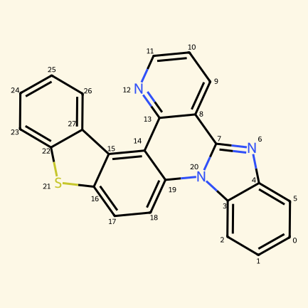 c1ccc2c(c1)nc1c3cccnc3c3c4c(ccc3n21)sc1ccccc14